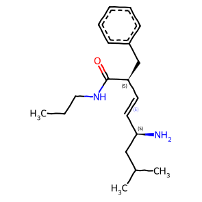 CCCNC(=O)[C@H](/C=C/[C@@H](N)CC(C)C)Cc1ccccc1